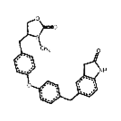 CN1C(=O)OCC1Cc1ccc(Oc2ccc(Cc3ccc4c(c3)CC(=O)N4)cc2)cc1